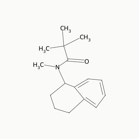 CN(C(=O)C(C)(C)C)C1CCCc2ccccc21